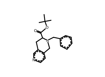 CC(C)(C)OC(=O)C1Cc2cnccc2CN1Cc1ccccc1